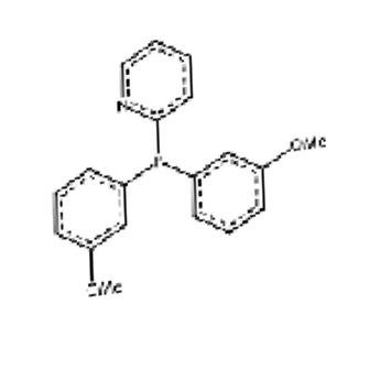 COc1cccc(P(c2cccc(OC)c2)c2ccccn2)c1